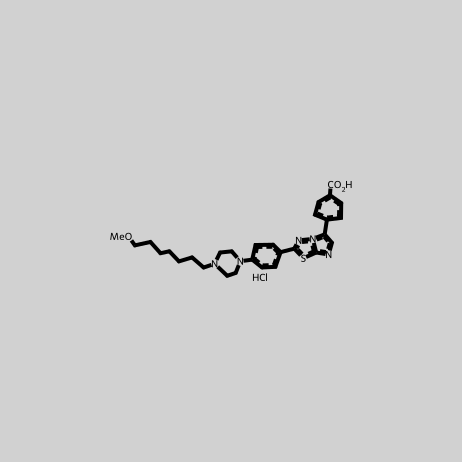 COCCCCCCCN1CCN(c2ccc(-c3nn4c(-c5ccc(C(=O)O)cc5)cnc4s3)cc2)CC1.Cl